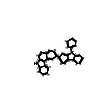 c1ccc(-n2c3ccccc3c3ccc(-c4ccc5ccc6[nH]c7ccccc7c6c5c4)cc32)cc1